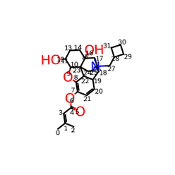 CC(C)=CC(=O)OC1=C2OC3C(O)CCC4(O)C5CC(C=C1)C2C34CCN5CC1CCC1